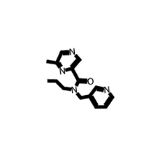 CCCN(Cc1cccnc1)C(=O)c1cncc(C)n1